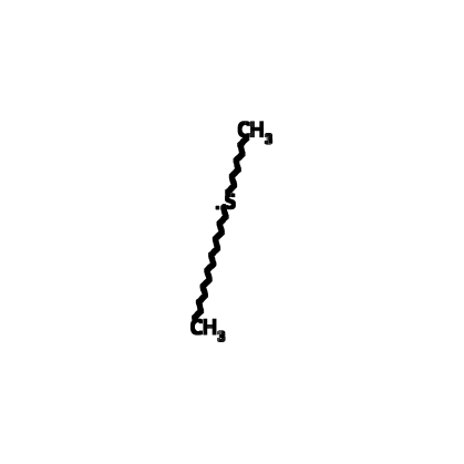 CCCCCCCCCCCCCCC[CH]SCCCCCCCCC